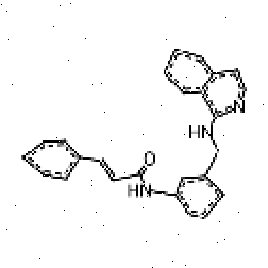 O=C(C=Cc1ccccc1)Nc1cccc(CNc2nccc3ccccc23)c1